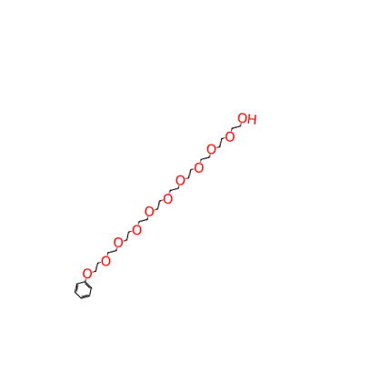 OCCOCCOCCOCCOCCOCCOCCOCCOCCOCCOc1ccccc1